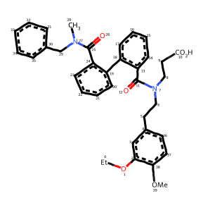 CCOc1cc(CCN(CCC(=O)O)C(=O)c2ccccc2-c2ccccc2C(=O)N(C)Cc2ccccc2)ccc1OC